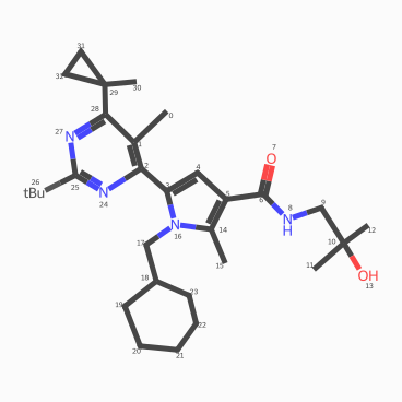 Cc1c(-c2cc(C(=O)NCC(C)(C)O)c(C)n2CC2CCCCC2)nc(C(C)(C)C)nc1C1(C)CC1